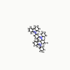 Cc1cc2c3c(c1)N(c1ccccc1)c1cc(-n4c5ccccc5c5ccccc54)ccc1B3c1ccccc1N2c1ccccc1